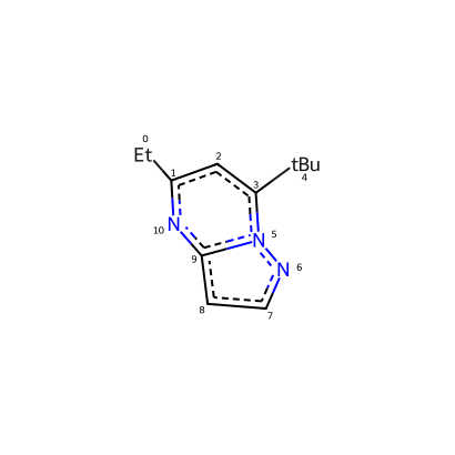 CCc1cc(C(C)(C)C)n2nccc2n1